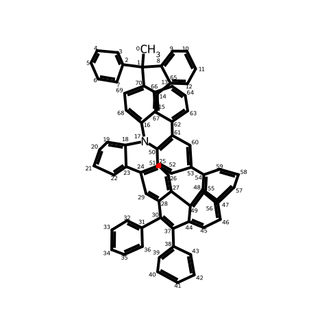 CC1(c2ccccc2)c2ccccc2-c2cc(N(c3ccccc3-c3ccc4c(c3)c(-c3ccccc3)c(-c3ccccc3)c3ccccc34)c3ccc(-c4ccccc4)cc3-c3ccccc3)ccc21